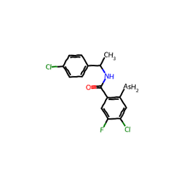 CC(NC(=O)c1cc(F)c(Cl)cc1[AsH2])c1ccc(Cl)cc1